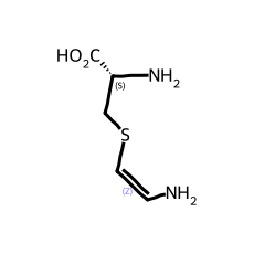 N/C=C\SC[C@@H](N)C(=O)O